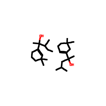 CC(C)CC(C)(O)C1=CCCC(C)(C)C1.CCC(C)C(C)(O)C1=CC(C)(C)CCC1